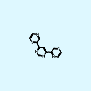 c1cnc(-c2cc(-c3cnccn3)ncn2)cn1